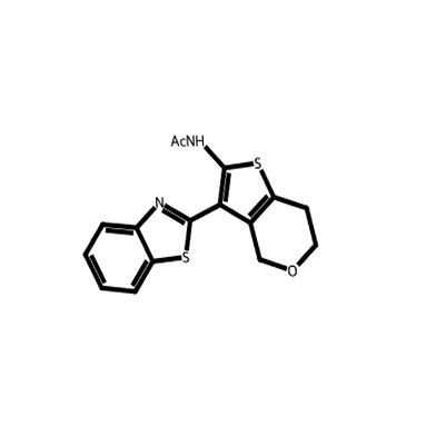 CC(=O)Nc1sc2c(c1-c1nc3ccccc3s1)COCC2